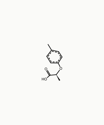 Cc1ccc(O[C@@H](C)C(=O)O)cc1